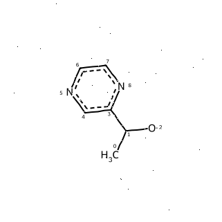 CC([O])c1cnccn1